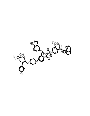 CC1(C)CCC(CN2CCN(c3ccc(C(=O)NS(=O)(=O)c4ccc(NCC56CC7CC(C5)C(O)C(C7)C6)c([N+](=O)[O-])c4)c(Oc4cnc5[nH]ccc5c4)c3)CC2)=C(c2ccc(Cl)cc2)C1